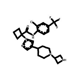 O=C(Nc1ccc(C(F)(F)F)cc1Cl)C1(n2cc(C3CCN(C4CNC4)CC3)cn2)CCC1